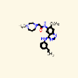 C=Cc1cccc(Nc2ncnc3cc(OC)c(NC(=O)CN4CCCN(C)CC4)cc23)c1